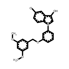 COc1cc(COc2cccc(-n3cc(O)c4cc(Cl)ccc43)c2)cc(OC)c1